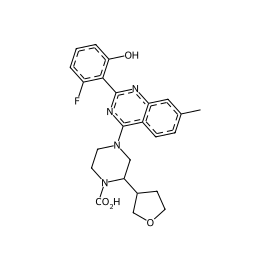 Cc1ccc2c(N3CCN(C(=O)O)C(C4CCOC4)C3)nc(-c3c(O)cccc3F)nc2c1